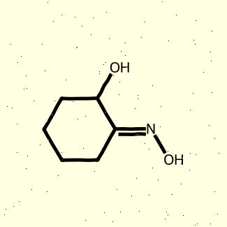 ON=C1CCCCC1O